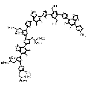 CCCCCCCCC(CCCCCC)Cc1cc(-c2sc(-c3c(F)c(F)c(-c4cc(CC(CCCCCC)CCCCCCCC)c(-c5cc(CC(CCCCCC)CCCCCCCC)c(-c6ccc(-c7c(F)c(F)c(-c8ccc(-c9cc(CO)c(-c%10ccc(-c%11c(F)c(F)c(-c%12ccc(C)s%12)c%12nsnc%11%12)s%10)cc9CO)s8)c8nsnc78)s6)s5)s4)c4nsnc34)cc2CC(CCCCCC)CCCCCCCC)sc1C